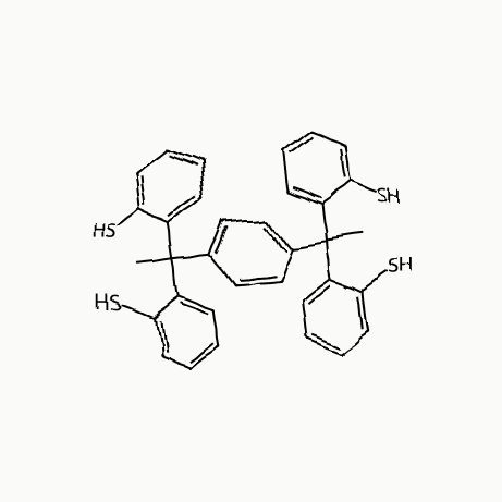 CC(c1ccc(C(C)(c2ccccc2S)c2ccccc2S)cc1)(c1ccccc1S)c1ccccc1S